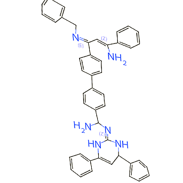 N/C(=C\C(=N/Cc1ccccc1)c1ccc(-c2ccc(C(N)/N=C3\NC(c4ccccc4)=CC(c4ccccc4)N3)cc2)cc1)c1ccccc1